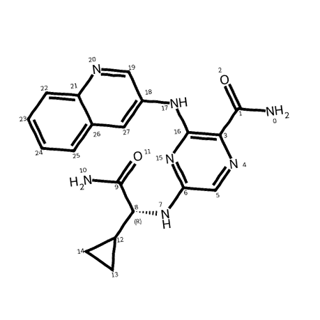 NC(=O)c1ncc(N[C@@H](C(N)=O)C2CC2)nc1Nc1cnc2ccccc2c1